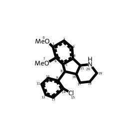 COc1ccc2c(c1OC)C(c1ccccc1Cl)C1CCCNC21